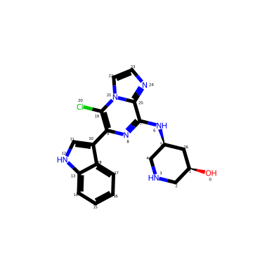 O[C@H]1CNC[C@@H](Nc2nc(-c3c[nH]c4ccccc34)c(Cl)n3ccnc23)C1